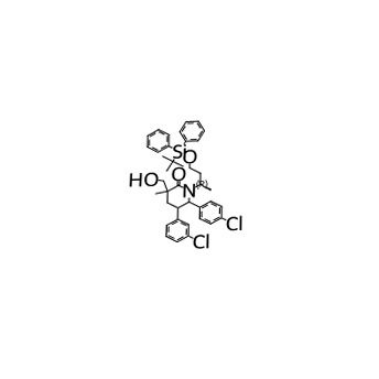 C[C@H](CCO[Si](c1ccccc1)(c1ccccc1)C(C)(C)C)N1C(=O)C(C)(CO)CC(c2cccc(Cl)c2)C1c1ccc(Cl)cc1